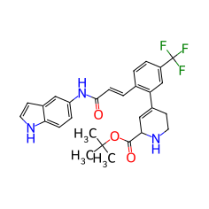 CC(C)(C)OC(=O)C1C=C(c2cc(C(F)(F)F)ccc2/C=C/C(=O)Nc2ccc3[nH]ccc3c2)CCN1